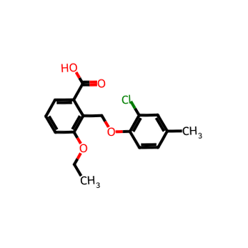 CCOc1cccc(C(=O)O)c1COc1ccc(C)cc1Cl